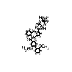 COc1ccccc1-c1ccc(C(=O)N2Cc3ccc(C(=O)N[C@@H](Cc4c[nH]cn4)C(N)=O)n3Cc3ccccc32)cc1OC